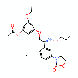 CCCON=C(COc1cc(OCC)cc(OC(C)=O)c1)c1cccc(N2CCOC2=O)c1